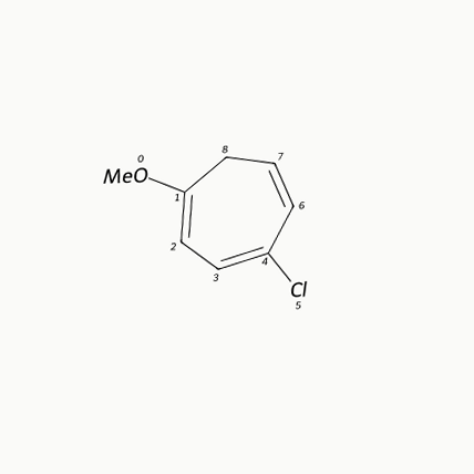 COC1=CC=C(Cl)C=CC1